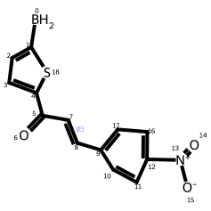 Bc1ccc(C(=O)/C=C/c2ccc([N+](=O)[O-])cc2)s1